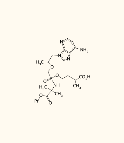 CC(C)OC(=O)C(C)(C)NP(=O)(COC(C)Cn1cnc2c(N)ncnc21)OCCC(C)C(=O)O